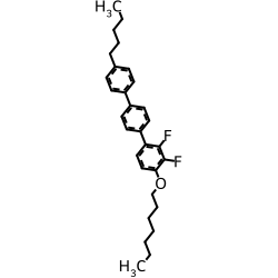 CCCCCCCOc1ccc(-c2ccc(-c3ccc(CCCCC)cc3)cc2)c(F)c1F